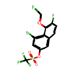 O=S(=O)(Oc1cc(Br)c2c(OCF)c(F)ccc2c1)C(F)(F)F